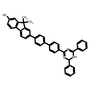 CC1(C)c2cc(C#N)ccc2-c2ccc(-c3ccc(-c4ccc(C5=NC(c6ccccc6)NC(c6ccccc6)=N5)cc4)cc3)cc21